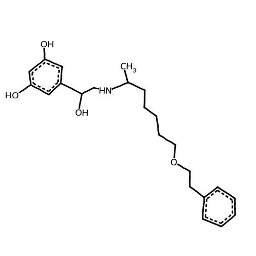 CC(CCCCCOCCc1ccccc1)NCC(O)c1cc(O)cc(O)c1